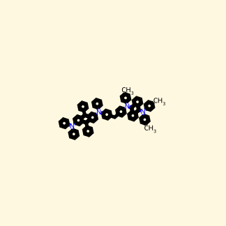 Cc1ccc(N(c2ccc(C)cc2)c2c3ccccc3c(N(c3ccc(C)cc3)c3ccc(Cc4ccc(N(c5ccccc5)c5ccc6c(-c7ccccc7)c7cc(N(c8ccccc8)c8ccccc8)ccc7c(-c7ccccc7)c6c5)cc4)cc3)c3ccccc23)cc1